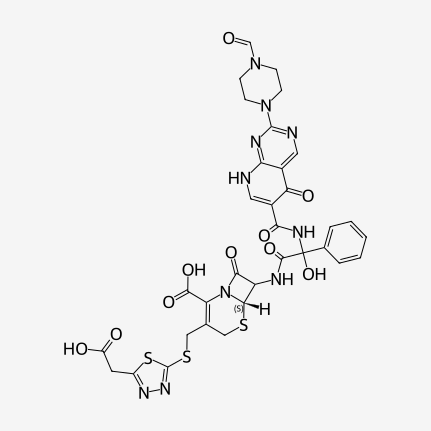 O=CN1CCN(c2ncc3c(=O)c(C(=O)NC(O)(C(=O)NC4C(=O)N5C(C(=O)O)=C(CSc6nnc(CC(=O)O)s6)CS[C@@H]45)c4ccccc4)c[nH]c3n2)CC1